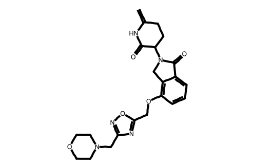 C=C1CCC(N2Cc3c(OCc4nc(CN5CCOCC5)no4)cccc3C2=O)C(=O)N1